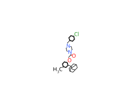 Cc1ccc(OCC(=O)N2CCN(Cc3ccc(Cl)cc3)CC2)c(C23CC4CC(CC(C4)C2)C3)c1